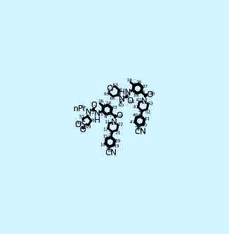 CCCN(C(=O)Nc1cc(C(=O)N2CCC(c3ccc(C#N)cc3)CC2)ccc1C)C1CCS(=O)(=O)C1.Cc1ccc(C(=O)N2CCC(c3ccc(C#N)cc3)CC2)cc1NC(=O)N(C)C1CCOCC1